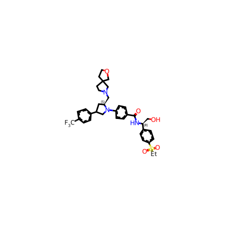 CCS(=O)(=O)c1ccc([C@H](CO)NC(=O)c2ccc(N3CC(c4ccc(C(F)(F)F)cc4)C[C@H]3CN3CCC4(CCOC4)C3)cc2)cc1